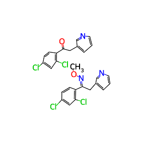 CON=C(Cc1cccnc1)c1ccc(Cl)cc1Cl.O=C(Cc1cccnc1)c1ccc(Cl)cc1Cl